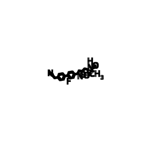 C[S+]([O-])C(CC1CC(c2ccc(-c3ccc(CC#N)cc3)c(F)c2)=NO1)NC=O